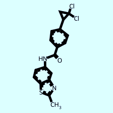 Cc1nc2cc(NC(=O)c3ccc(C4CC4(Cl)Cl)cc3)ccc2s1